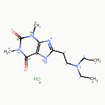 CCN(CC)CCc1nc2c([nH]1)c(=O)n(C)c(=O)n2C.Cl